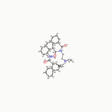 CN(C)CCN1C(=O)c2cccc3cc4cccc(NC(=O)c5cccc6ccccc56)c4c(c23)C1=O